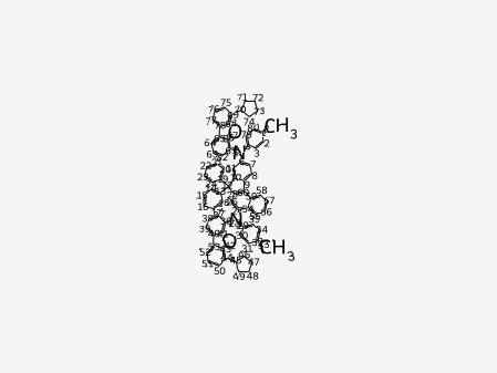 Cc1ccc(N(c2ccc3c(c2)C(c2ccccc2)(c2ccccc2)c2cc(N(c4ccc(C)cc4)c4cccc5c4oc4c(C6CCCC6)cccc45)c4ccccc4c2-3)c2cccc3c2oc2c(C4CCCC4)cccc23)cc1